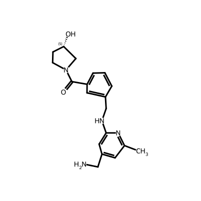 Cc1cc(CN)cc(NCc2cccc(C(=O)N3CC[C@H](O)C3)c2)n1